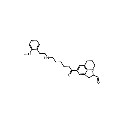 COc1ccccc1CCNCCCCCC(=O)c1cc2c3c(c1)CC(C=O)N3CCC2